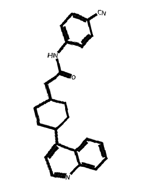 N#Cc1ccc(NC(=O)CC2CCC(c3ccnc4ccccc34)CC2)cc1